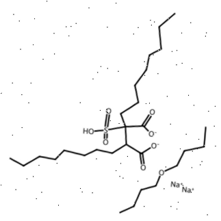 CCCCCCCCC(C(=O)[O-])C(CCCCCCCC)(C(=O)[O-])S(=O)(=O)O.CCCCOCCCC.[Na+].[Na+]